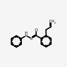 C=CCc1ccccc1C(Cl)=NNc1ccccc1